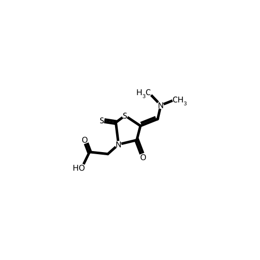 CN(C)C=C1SC(=S)N(CC(=O)O)C1=O